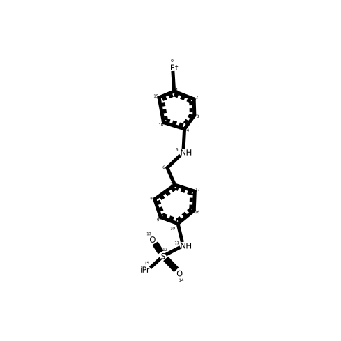 CCc1ccc(NCc2ccc(NS(=O)(=O)C(C)C)cc2)cc1